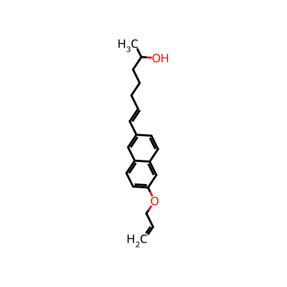 C=CCOc1ccc2cc(C=CCCCC(C)O)ccc2c1